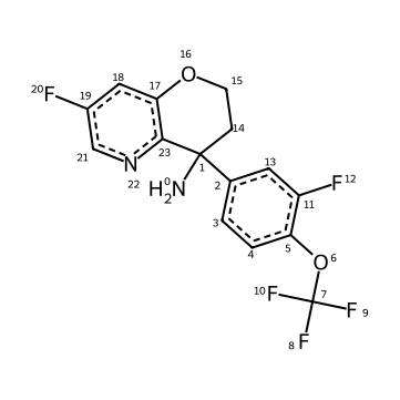 NC1(c2ccc(OC(F)(F)F)c(F)c2)CCOc2cc(F)cnc21